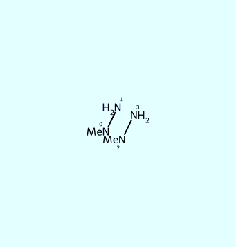 CNN.CNN